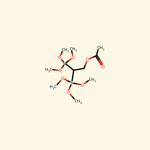 CO[Si](OC)(OC)C(COC(C)=O)[Si](OC)(OC)OC